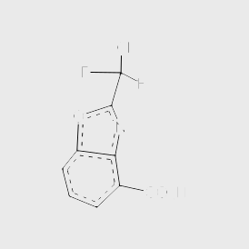 O=C(O)c1cccc2oc(C(F)(F)C(F)(F)F)nc12